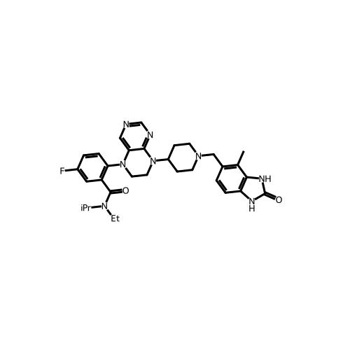 CCN(C(=O)c1cc(F)ccc1N1CCN(C2CCN(Cc3ccc4[nH]c(=O)[nH]c4c3C)CC2)c2ncncc21)C(C)C